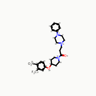 O=C(CCN1CCN(c2ccccc2)CC1)N1CCC(Oc2ccc([N+](=O)[O-])c(C(F)(F)F)c2)CC1